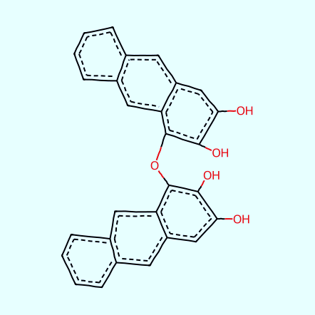 Oc1cc2cc3ccccc3cc2c(Oc2c(O)c(O)cc3cc4ccccc4cc23)c1O